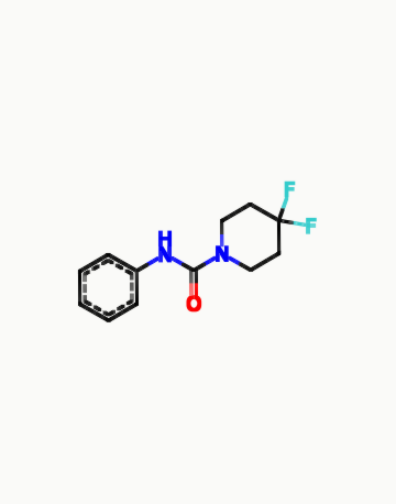 O=C(Nc1ccccc1)N1CCC(F)(F)CC1